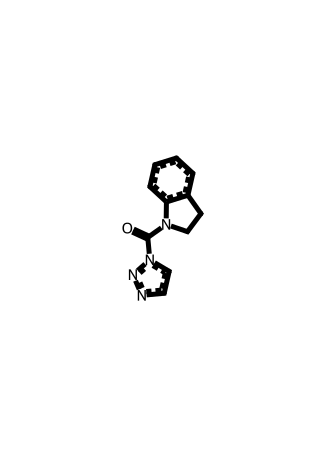 O=C(N1CCc2ccccc21)n1ccnn1